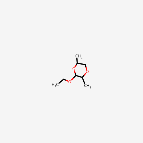 CCOC1OC(C)COC1C